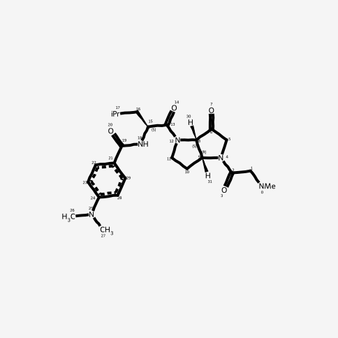 CNCC(=O)N1CC(=O)[C@@H]2[C@H]1CCN2C(=O)[C@H](CC(C)C)NC(=O)c1ccc(N(C)C)cc1